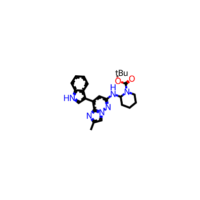 Cc1cn2nc(NC3CCCCN3C(=O)OC(C)(C)C)cc(-c3c[nH]c4ccccc34)c2n1